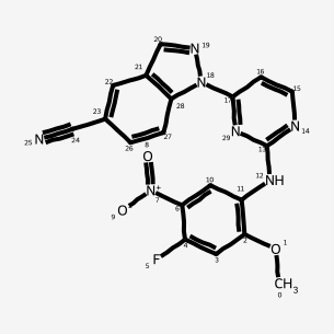 COc1cc(F)c([N+](=O)[O-])cc1Nc1nccc(-n2ncc3cc(C#N)ccc32)n1